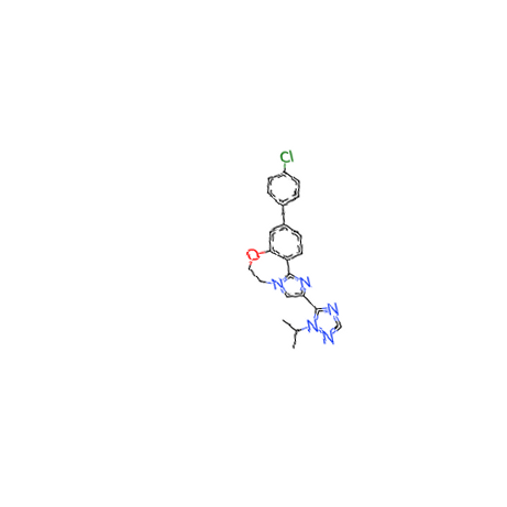 CC(C)n1ncnc1-c1cn2c(n1)-c1ccc(-c3ccc(Cl)cc3)cc1OCC2